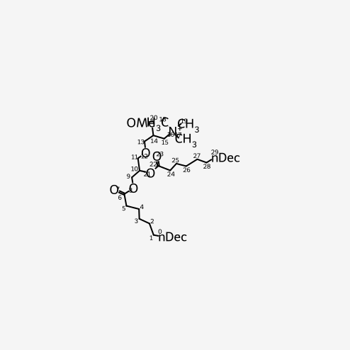 CCCCCCCCCCCCCCCC(=O)OCC(COCC(C[N+](C)(C)C)OC)OC(=O)CCCCCCCCCCCCCCC